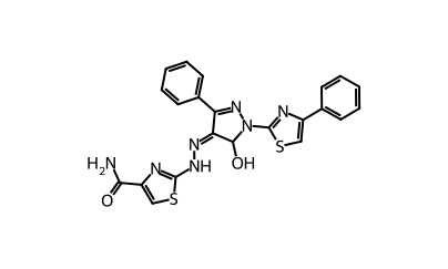 NC(=O)c1csc(N/N=C2/C(c3ccccc3)=NN(c3nc(-c4ccccc4)cs3)C2O)n1